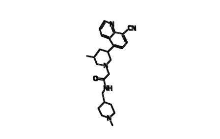 CC1CC(c2ccc(C#N)c3ncccc23)CN(CC(=O)NCC2CCN(C)CC2)C1